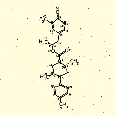 Cc1cnc(N2C[C@@H](C)N(C(=O)O[C@@H](C)Cc3c[nH]c(=O)c(C(F)(F)F)c3)C[C@@H]2C)nc1